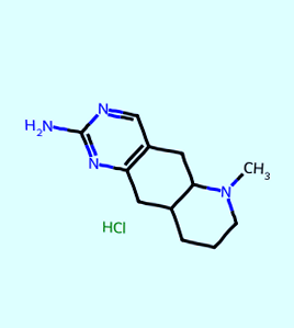 CN1CCCC2Cc3nc(N)ncc3CC21.Cl